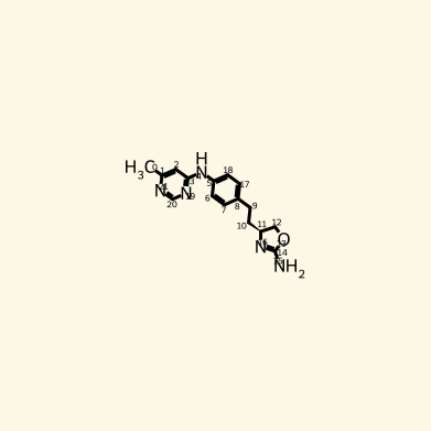 Cc1cc(Nc2ccc(CC[C@H]3COC(N)=N3)cc2)ncn1